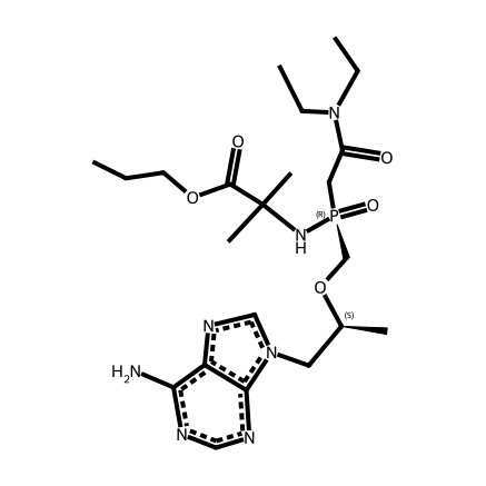 CCCOC(=O)C(C)(C)N[P@](=O)(CO[C@@H](C)Cn1cnc2c(N)ncnc21)CC(=O)N(CC)CC